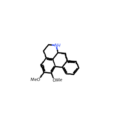 COc1cc2c3c(c1OC)-c1ccccc1CC3NCC2